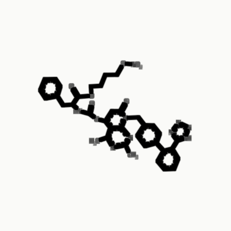 Cc1nc(C)c2c(OC(=O)NC(Cc3ccccc3)C(=O)OCCCCO[N+](=O)[O-])cc(=O)n(Cc3ccc(-c4ccccc4-c4nnn[nH]4)cc3)c2n1